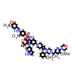 COc1cc([C@@H](C)N2CCN(C3CC4(CCN(c5ccc(C(=O)NS(=O)(=O)c6ccc(NCC7CCC(C)(O)CC7)c([N+](=O)[O-])c6)c(N6c7cc8cc[nH]c8nc7O[C@H]7COCC[C@@H]76)c5)CC4)C3)[C@H](c3ccccc3C)C2)cnc1N1CCOCC1